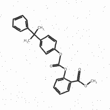 COC(=O)c1ccccc1OC(=O)Oc1ccc(C(C)(C)c2ccccc2)cc1